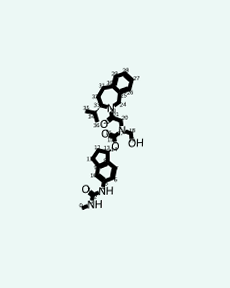 CNC(=O)Nc1ccc2c(c1)CC[C@@H]2OC(=O)N(CO)CC(=O)N1Cc2ccccc2CC[C@H]1C(C)C